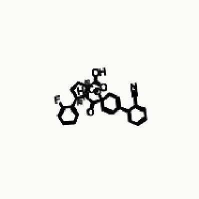 COC1(C(=O)N2[C@@H](c3ccccc3F)CC[C@H]2C(=O)O)C=CC(c2ccccc2C#N)=CC1